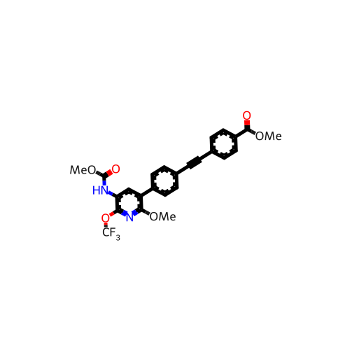 COC(=O)Nc1cc(-c2ccc(C#Cc3ccc(C(=O)OC)cc3)cc2)c(OC)nc1OC(F)(F)F